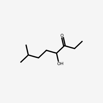 CCC(=O)C(O)CCC(C)C